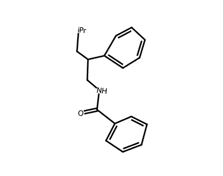 CC(C)CC(CNC(=O)c1ccccc1)c1ccccc1